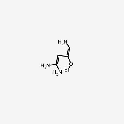 CCO/C(C=C(N)N)=C/N